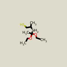 CCOC(C)(OCC)[SiH2]C(C)CS